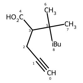 C#CCC(C(=O)O)C(C)(C)C(C)CC